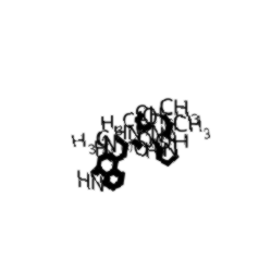 CC[C@H](C)[C@H]1CN2CCC[C@H]2[C@]2(O)O[C@](NC(=O)[C@@H]3CC4c5cccc6[nH]cc(c56)C[C@H]4N(C)C3)(C(C)C)C(=O)N12